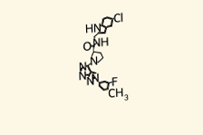 Cc1ccc(-n2cc3c(N4CCC[C@H](C(=O)NCc5cc6cc(Cl)ccc6[nH]5)C4)ncnc3n2)cc1F